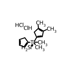 CC1=C(C)C[C]([Ti]([CH3])([CH3])(=[SiH2])[C]2=CC=CC2)=C1.Cl.Cl